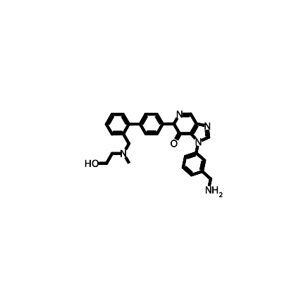 CN(CCO)Cc1ccccc1-c1ccc(C2N=Cc3ncn(-c4cccc(CN)c4)c3C2=O)cc1